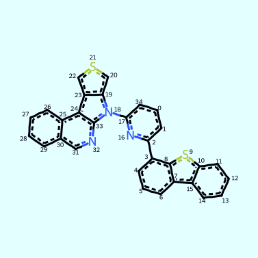 c1cc(-c2cccc3c2sc2ccccc23)nc(-n2c3cscc3c3c4ccccc4cnc32)c1